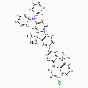 CC1(C)c2cc(-c3ccc4c(c3)C3(CC3)c3cccc5c(Br)ccc-4c35)ccc2-c2ccc(N(c3ccccc3)c3ccccc3)cc21